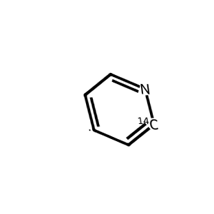 [c]1ccn[14cH]c1